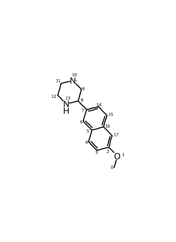 COc1ccc2cc(C3C[N]CCN3)ccc2c1